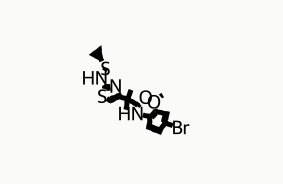 COc1cc(Br)ccc1NC(=O)C(C)(C)c1csc(NSC2CC2)n1